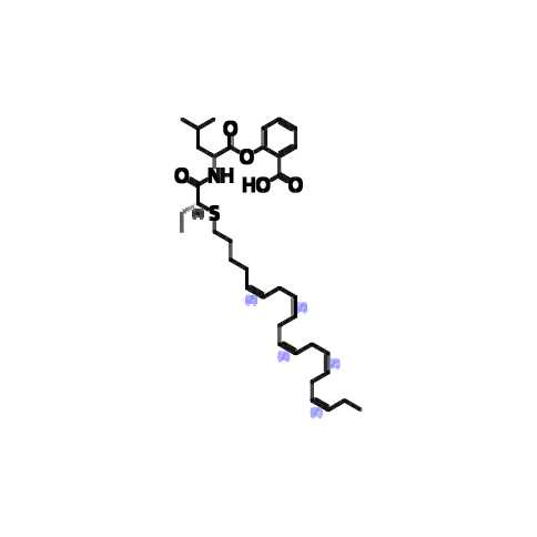 CC/C=C\C/C=C\C/C=C\C/C=C\C/C=C\CCCCS[C@H](CC)C(=O)NC(CC(C)C)C(=O)Oc1ccccc1C(=O)O